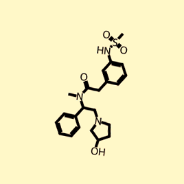 CN(C(=O)Cc1cccc(NS(C)(=O)=O)c1)C(CN1CCC(O)C1)c1ccccc1